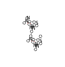 c1ccc(-c2nc(-c3ccc(-c4ccc5c(c4)c4cc(-c6cc(-c7ccccc7)c7sc8cccc(-c9nc(-c%10ccccc%10)nc(-c%10ccccc%10)n9)c8c7c6)ccc4n5-c4ccccc4)cc3)nc(-c3cccc4sc5ccc(-c6ccc7c(c6)c6ncccc6n7-c6ccccc6)cc5c34)n2)cc1